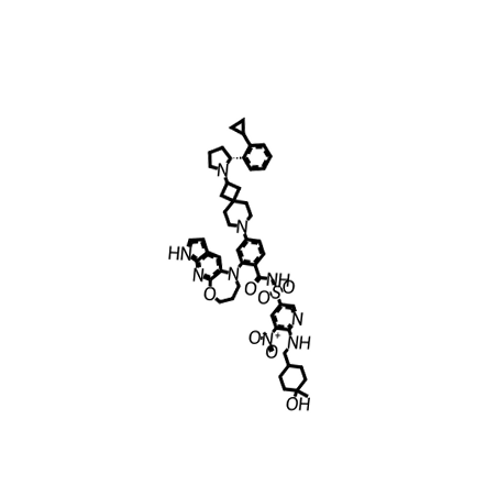 CC1(O)CCC(CNc2ncc(S(=O)(=O)NC(=O)c3ccc(N4CCC5(CC4)CC(N4CCC[C@@H]4c4ccccc4C4CC4)C5)cc3N3CCCOc4nc5[nH]ccc5cc43)cc2[N+](=O)[O-])CC1